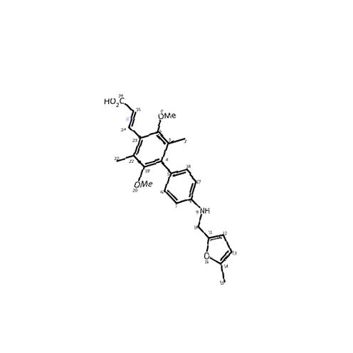 COc1c(C)c(-c2ccc(NCc3ccc(C)o3)cc2)c(OC)c(C)c1/C=C/C(=O)O